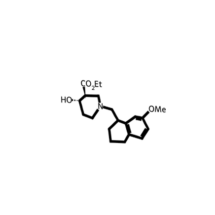 CCOC(=O)[C@H]1CN(CC2CCCc3ccc(OC)cc32)CC[C@@H]1O